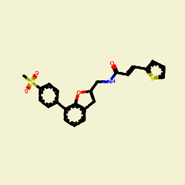 CS(=O)(=O)c1ccc(-c2cccc3c2OC(CNC(=O)C=Cc2cccs2)C3)cc1